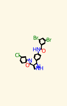 O=C(Nc1ccc(-c2n[nH]cc2-c2nc3cc(Cl)ccc3o2)cc1)c1cc(Br)cc(Br)c1